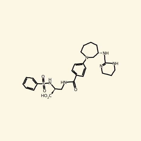 O=C(NC[C@H](NS(=O)(=O)c1ccccc1)C(=O)O)c1ccc(N2CCCC[C@H](NC3=NCCCN3)C2)cc1